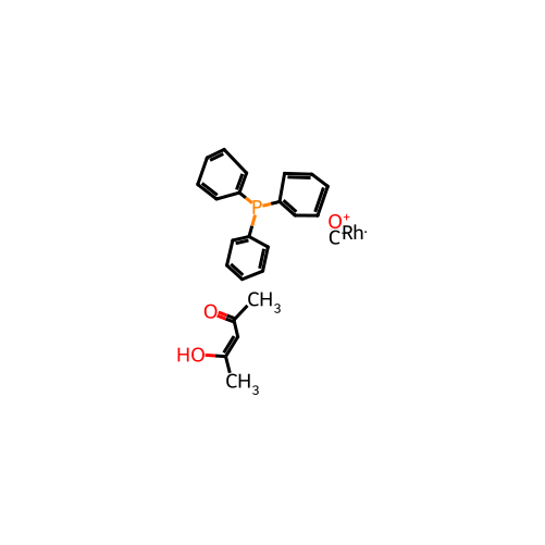 CC(=O)/C=C(/C)O.[C-]#[O+].[Rh].c1ccc(P(c2ccccc2)c2ccccc2)cc1